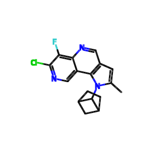 Cc1cc2cnc3c(F)c(Cl)ncc3c2n1C1C2CCC1C2